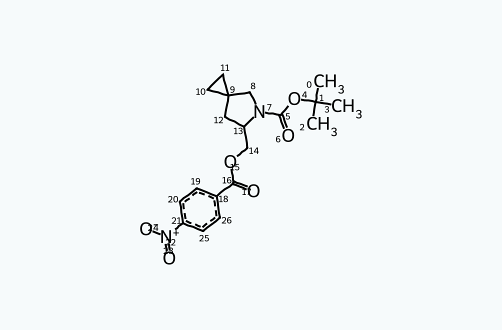 CC(C)(C)OC(=O)N1CC2(CC2)CC1COC(=O)c1ccc([N+](=O)[O-])cc1